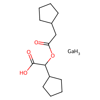 O=C(CC1CCCC1)OC(C(=O)O)C1CCCC1.[GaH3]